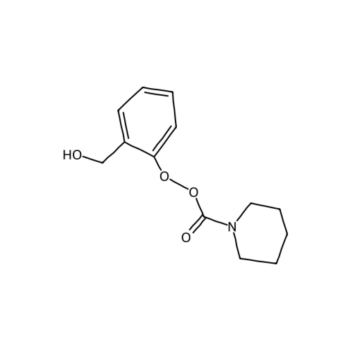 O=C(OOc1ccccc1CO)N1CCCCC1